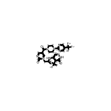 CC(Cn1cc(C(=O)N2CCN(c3ncc(C(F)(F)F)cn3)CC2)cnc1=O)Nc1cn[nH]c(=O)c1C(F)(F)F